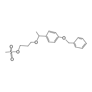 CC(OCCCOS(C)(=O)=O)c1ccc(OCc2ccccc2)cc1